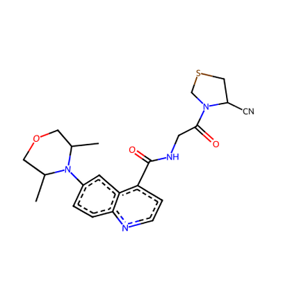 CC1COCC(C)N1c1ccc2nccc(C(=O)NCC(=O)N3CSCC3C#N)c2c1